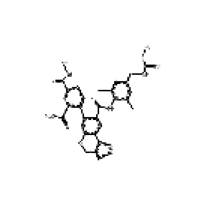 CCCNC(=O)c1ccc(-c2cc3c(cc2C(=O)Nc2c(C)cc(CNC(=O)OC(C)(C)C)cc2C)-c2cscc2CO3)c(C(=O)OC)n1